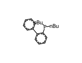 CCCCP(CCCC)c1ccccc1-c1ccccc1